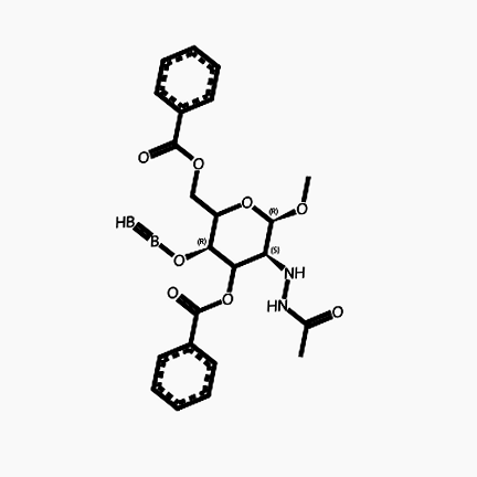 B=BO[C@H]1C(COC(=O)c2ccccc2)O[C@@H](OC)[C@@H](NNC(C)=O)C1OC(=O)c1ccccc1